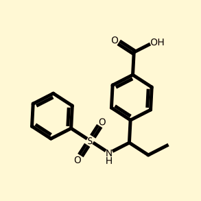 CCC(NS(=O)(=O)c1ccccc1)c1ccc(C(=O)O)cc1